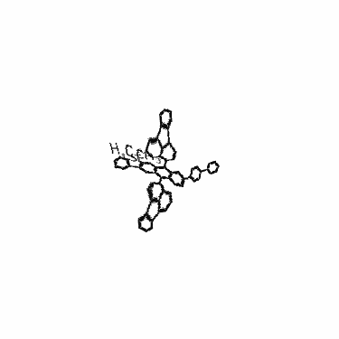 C[Si]1(C)c2ccccc2-c2cc3c(-c4ccc5c6c(cccc46)-c4ccccc4-5)c4ccc(-c5ccc(-c6ccccc6)cc5)cc4c(C4=C5C=CC=C6c7ccccc7C(C=C4)C65)c3cc21